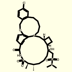 C[C@@H]1[C@@H](C)CCC[C@](O)(CS(=O)(=O)N(C)C)[C@@H]2CC[C@H]2CN2CCCCc3cc(Cl)ccc3COc3ccc(cc32)C(=O)NS1(=O)=O